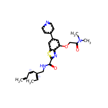 C=C/C=C\C(=C/C)CNC(=O)c1nc2c(OCC(=O)N(C)C)cc(-c3ccncc3)cc2s1